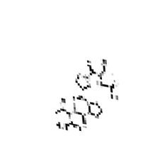 C[C@@H](O)[C@H](NC(=O)[C@H]1CCCN1C(=O)[C@@H]1CCN(C(=O)[C@@H](NC(=O)O)[C@@H](C)O)C1)C(N)=O